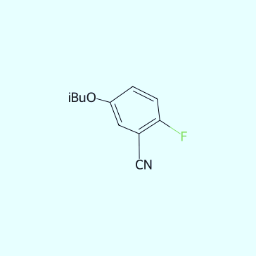 CC(C)COc1ccc(F)c(C#N)c1